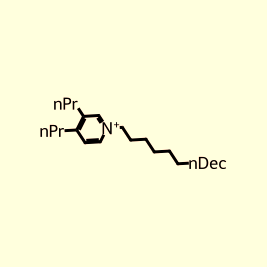 CCCCCCCCCCCCCCCC[n+]1ccc(CCC)c(CCC)c1